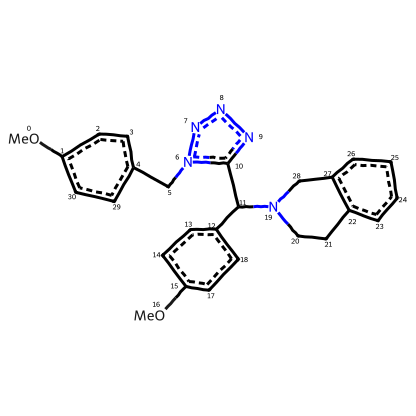 COc1ccc(Cn2nnnc2C(c2ccc(OC)cc2)N2CCc3ccccc3C2)cc1